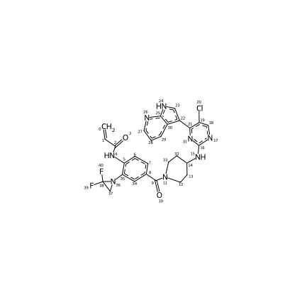 C=CC(=O)Nc1ccc(C(=O)N2CCC(Nc3ncc(Cl)c(-c4c[nH]c5ncccc45)n3)CC2)cc1N1CC1(F)F